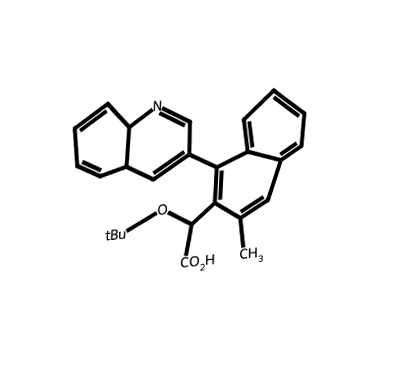 Cc1cc2ccccc2c(C2=CC3C=CC=CC3N=C2)c1C(OC(C)(C)C)C(=O)O